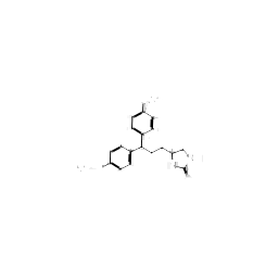 COc1ccc(C(CCC2CNC(=O)N2)c2ccc(OC)cc2)cc1